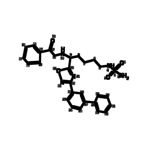 NS(=O)(=O)NCCCCC(NCC(=O)c1ccccc1)c1nc(-c2cccc(-c3ccccc3)c2)no1